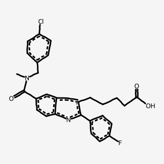 CN(Cc1ccc(Cl)cc1)C(=O)c1ccc2nc(-c3ccc(F)cc3)c(CCCCC(=O)O)cc2c1